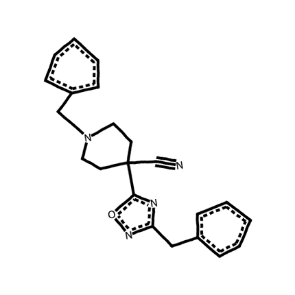 N#CC1(c2nc(Cc3ccccc3)no2)CCN(Cc2ccccc2)CC1